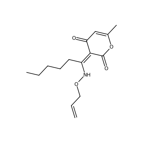 C=CCONC(CCCCC)=C1C(=O)C=C(C)OC1=O